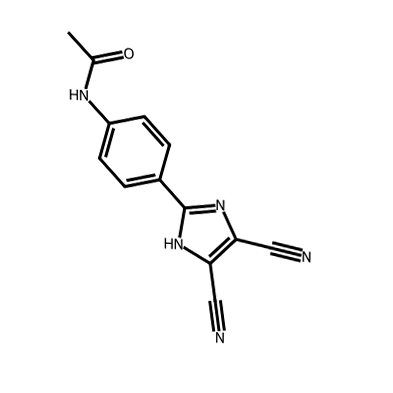 CC(=O)Nc1ccc(-c2nc(C#N)c(C#N)[nH]2)cc1